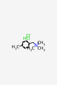 Cc1ccc(C[N+](C)(C)C)cc1.Cl.[Cl-]